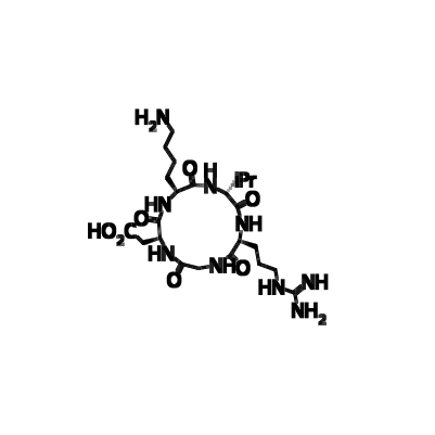 CC(C)[C@H]1NC(=O)[C@H](CCCCN)NC(=O)[C@H](CC(=O)O)NC(=O)CNC(=O)[C@H](CCCNC(=N)N)NC1=O